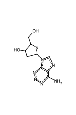 Nc1nnnc2c1ncn2C1CC(O)C(CO)S1